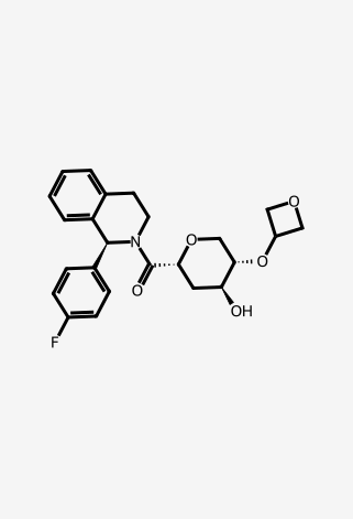 O=C([C@H]1C[C@H](O)[C@@H](OC2COC2)CO1)N1CCc2ccccc2[C@@H]1c1ccc(F)cc1